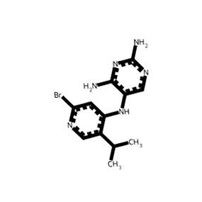 CC(C)c1cnc(Br)cc1Nc1cnc(N)nc1N